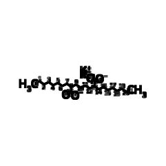 CCCCCCCCC(CCCCC(CCCCCCCC)C(=O)[O-])C(=O)[O-].[K+].[K+]